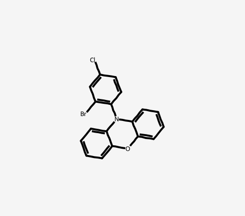 Clc1ccc(N2c3ccccc3Oc3ccccc32)c(Br)c1